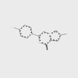 O=c1[nH]c(-c2ccc(Br)cc2)cn2cc(F)cc12